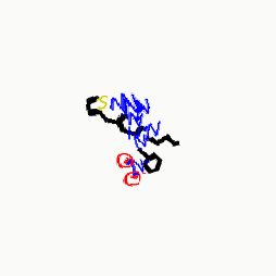 CCCCc1ncc(C=C(Cc2cccs2)c2nnn[nH]2)n1Cc1ccccc1[N+](=O)[O-]